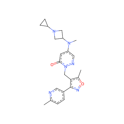 Cc1ccc(-c2noc(C)c2Cn2ncc(N(C)C3CN(C4CC4)C3)cc2=O)cn1